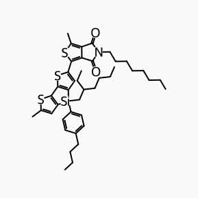 CCCCCCCCN1C(=O)c2c(C)sc(-c3cc4c(s3)-c3sc(C)cc3[Si]4(CC(CC)CCCC)c3ccc(CCCC)cc3)c2C1=O